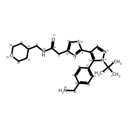 CC(C)(C)n1ncc(-c2nc(CC(=O)NCC3CCOCC3)cs2)c1-c1ccc(CN)cc1